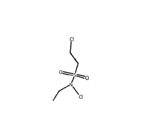 CCN(Cl)S(=O)(=O)CCCl